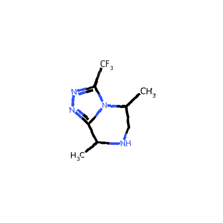 CC1NCC(C)n2c1nnc2C(F)(F)F